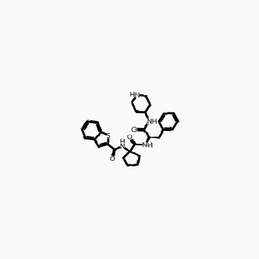 O=C(NC1(C(=O)N[C@H](Cc2ccccc2)C(=O)NC2CCNCC2)CCCC1)c1cc2ccccc2s1